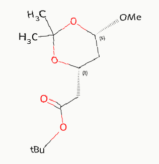 CO[C@@H]1C[C@H](CC(=O)OC(C)(C)C)OC(C)(C)O1